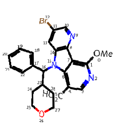 COc1ncc(C(=O)O)c2c1c1ncc(Br)cc1n2C(c1ccccc1)C1CCOCC1